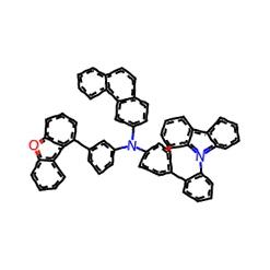 c1cc(-c2cccc3oc4ccccc4c23)cc(N(c2ccc(-c3ccccc3-n3c4ccccc4c4ccccc43)cc2)c2ccc3ccc4ccccc4c3c2)c1